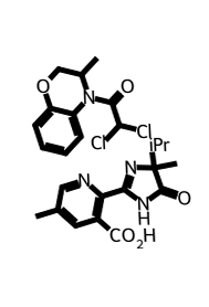 CC1COc2ccccc2N1C(=O)C(Cl)Cl.Cc1cnc(C2=NC(C)(C(C)C)C(=O)N2)c(C(=O)O)c1